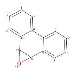 c1ccc2c(c1)-c1ccccc1C1OC21